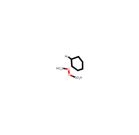 CC(=O)C1CCCCC1.O=S(=O)(O)OOS(=O)(=O)O